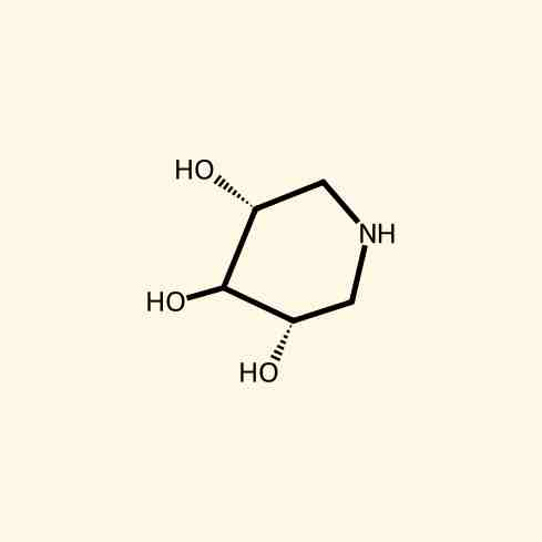 OC1[C@H](O)CNC[C@@H]1O